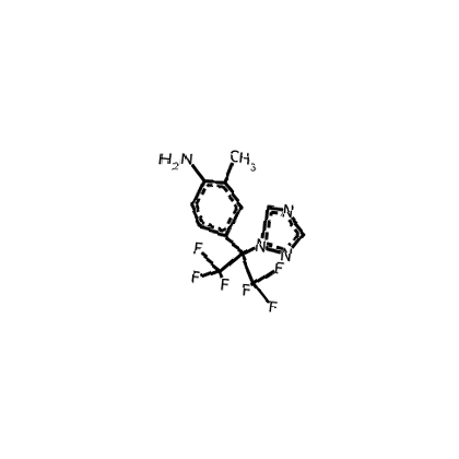 Cc1cc(C(n2cncn2)(C(F)(F)F)C(F)(F)F)ccc1N